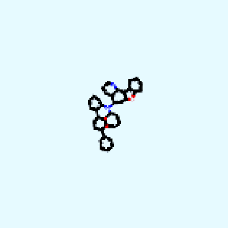 C1=CCC(N(c2ccccc2-c2ccc(-c3ccccc3)cc2)c2cc3oc4ccccc4c3c3ncccc23)C=C1